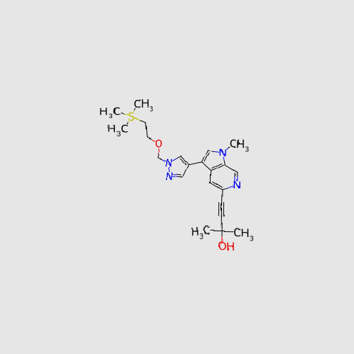 Cn1cc(-c2cnn(COCCS(C)(C)C)c2)c2cc(C#CC(C)(C)O)ncc21